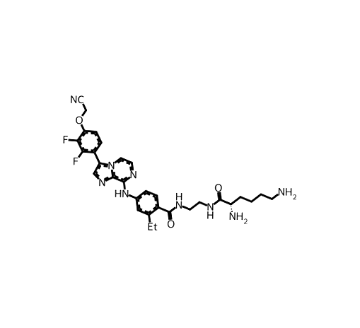 CCc1cc(Nc2nccn3c(-c4ccc(OCC#N)c(F)c4F)cnc23)ccc1C(=O)NCCNC(=O)[C@@H](N)CCCCN